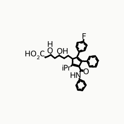 CC(C)C1=C(C(=O)Nc2ccccc2)C(c2ccccc2)=C(c2ccc(F)cc2)C1CC[C@@H](O)C[C@@H](O)CC(=O)O